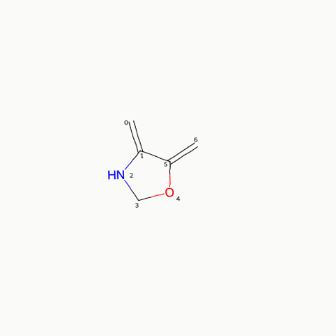 C=C1NCOC1=C